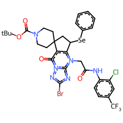 CC(C)(C)OC(=O)N1CCC2(CC1)CC([Se]c1ccccc1)c1c2c(=O)n2nc(Br)nc2n1CC(=O)Nc1ccc(C(F)(F)F)cc1Cl